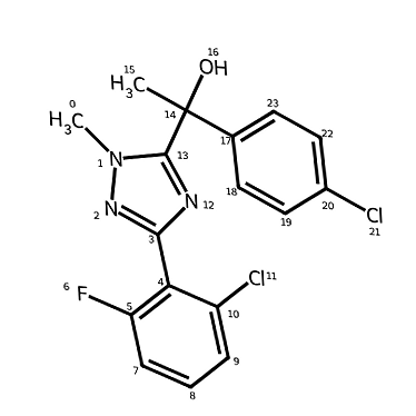 Cn1nc(-c2c(F)cccc2Cl)nc1C(C)(O)c1ccc(Cl)cc1